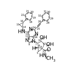 CNC(=O)[C@@]12C[C@@H]1[C@@H](n1cnc3c(NC4CC4c4ccccc4)nc(C#Cc4ccccc4)nc31)[C@H](O)[C@@H]2O